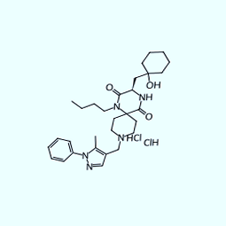 CCCCN1C(=O)[C@@H](CC2(O)CCCCC2)NC(=O)C12CCN(Cc1cnn(-c3ccccc3)c1C)CC2.Cl.Cl